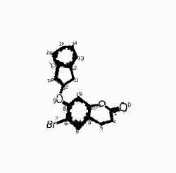 O=C1CCc2cc(Br)c(OC3Cc4ccccc4C3)cc2O1